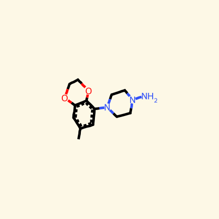 Cc1cc2c(c(N3CCN(N)CC3)c1)OCCO2